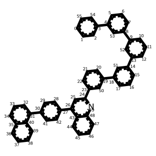 c1ccc(-c2cccc(-c3cccc(-c4cccc(-c5cccc(-c6cc(-c7ccc(-c8cccc9ccccc89)cc7)c7ccccc7n6)c5)c4)c3)c2)cc1